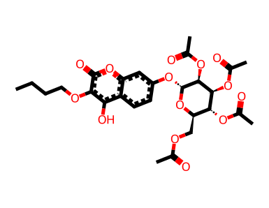 CCCCOc1c(O)c2ccc(O[C@H]3O[C@H](COC(C)=O)[C@@H](OC(C)=O)[C@H](OC(C)=O)[C@@H]3OC(C)=O)cc2oc1=O